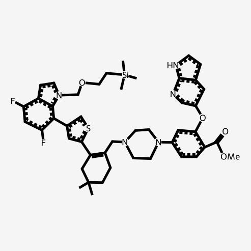 COC(=O)c1ccc(N2CCN(CC3=C(c4cc(-c5c(F)cc(F)c6ccn(COCC[Si](C)(C)C)c56)cs4)CC(C)(C)CC3)CC2)cc1Oc1cnc2[nH]ccc2c1